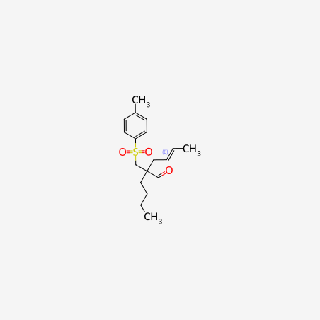 C/C=C/CC(C=O)(CCCC)CS(=O)(=O)c1ccc(C)cc1